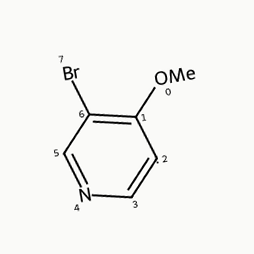 COc1[c]cncc1Br